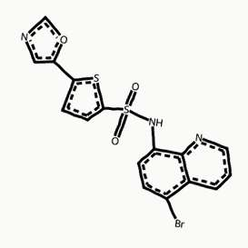 O=S(=O)(Nc1ccc(Br)c2cccnc12)c1ccc(-c2cnco2)s1